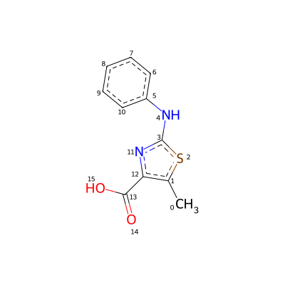 Cc1sc(Nc2ccccc2)nc1C(=O)O